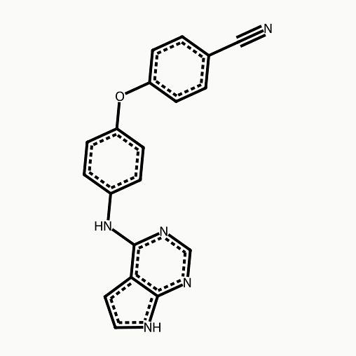 N#Cc1ccc(Oc2ccc(Nc3ncnc4[nH]ccc34)cc2)cc1